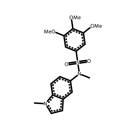 COc1cc(S(=O)(=O)N(C)c2ccc3c(ccn3C)c2)cc(OC)c1OC